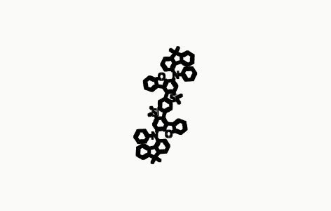 CC1(C)c2ccccc2-c2c(N(c3ccccc3)c3cc4c(c5c3oc3ccccc35)-c3cc5c(cc3[Si]4(C)C)-c3c(cc(N(c4ccccc4)c4cccc6c4-c4ccccc4C6(C)C)c4oc6ccccc6c34)[Si]5(C)C)cccc21